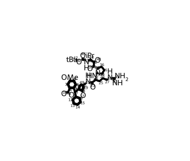 COc1ccc2c(c1)C1(OC2=O)c2ccccc2Oc2cc(NC(=O)C(CCCNC(=N)N)NN3CCC[C@H]3C(=O)C(=O)[C@@H](NC(=O)OC(C)(C)C)C(C)C)ccc21